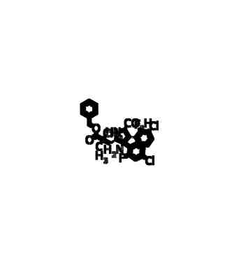 CC(C)(C[C@@H]1N[C@@H](C(=O)O)[C@H](c2cccc(Cl)c2F)[C@@]1(N)c1ccc(Cl)cc1F)C(=O)OCc1ccccc1